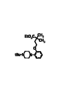 CCOC(=O)C(C)(C)CCOc1ccccc1N1CCN(C(C)(C)C)CC1